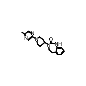 Cc1cnc(N2CCC(N3CCc4ccccc4NC3=O)CC2)cn1